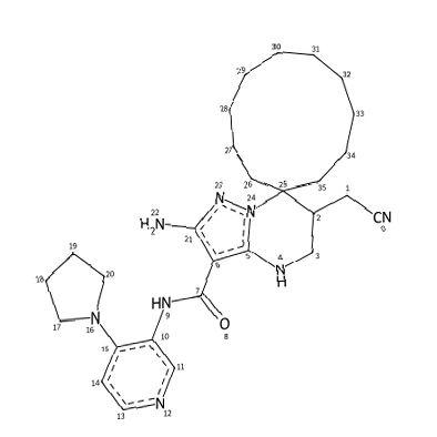 N#CCC1CNc2c(C(=O)Nc3cnccc3N3CCCC3)c(N)nn2C12CCCCCCCCCC2